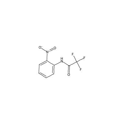 O=C(Nc1ccccc1[N+](=O)[O-])C(F)(F)F